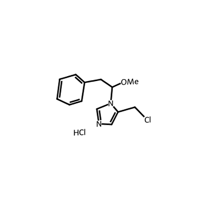 COC(Cc1ccccc1)n1cncc1CCl.Cl